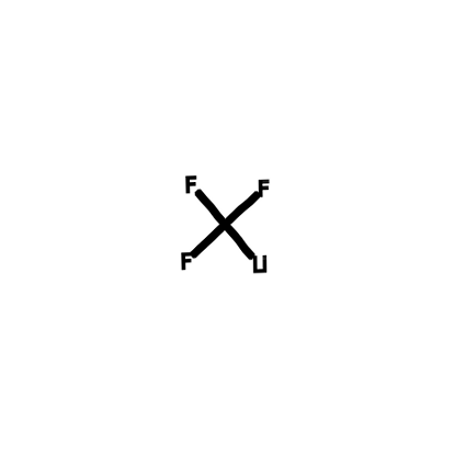 [Li][C](F)(F)F